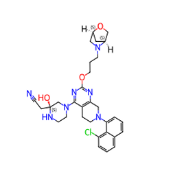 N#CC[C@]1(O)CN(c2nc(OCCCN3C[C@@H]4C[C@H]3CO4)nc3c2CCN(c2cccc4cccc(Cl)c24)C3)CCN1